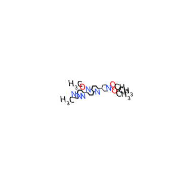 COc1cc2nc(C)cn2nc1-c1ccc2nc(C3CCN(C(=O)OC(C)(C)C)CC3)ccc2n1